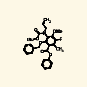 C=CCN(C(=O)OC(C)(C)C)c1c(OC)c(F)c(C)c(C(=O)Oc2ccccc2)c1OCc1ccccc1